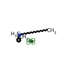 CCCCCCCCCCCCCCCCCC[N+](C)(C)Cc1ccccc1.[Cl][Fe-]([Cl])([Cl])[Cl]